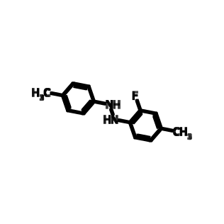 Cc1ccc(NNc2ccc(C)cc2F)cc1